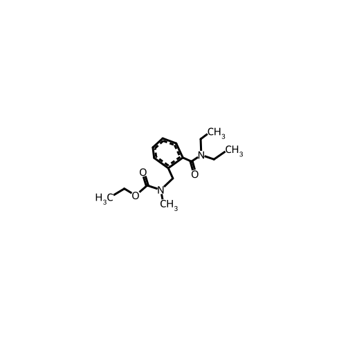 CCOC(=O)N(C)Cc1ccccc1C(=O)N(CC)CC